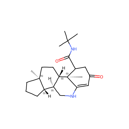 CC(C)(C)NC(=O)C1CC(=O)C=C2NC[C@H]3[C@@H]4CCC[C@@]4(C)CC[C@@H]3[C@]21C